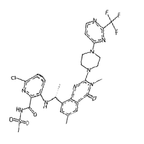 Cc1cc([C@@H](C)Nc2ccc(Cl)nc2C(=O)NS(C)(=O)=O)c2nc(N3CCN(c4ccnc(C(F)(F)F)n4)CC3)n(C)c(=O)c2c1